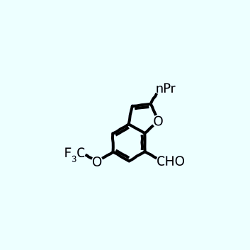 CCCc1cc2cc(OC(F)(F)F)cc(C=O)c2o1